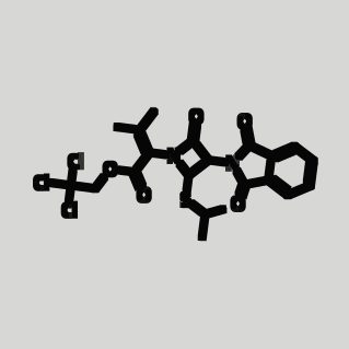 CC(C)=C(C(=O)OCC(Cl)(Cl)Cl)N1C(=O)C(N2C(=O)c3ccccc3C2=O)C1SC(C)C